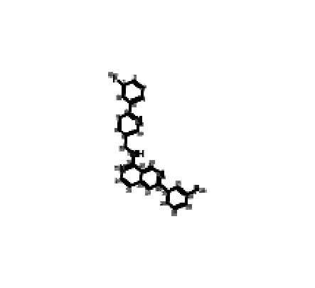 Fc1cccc(-c2ccc(CNc3nccc4cc(-c5cccc(F)c5)ncc34)cn2)c1